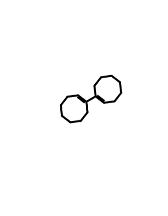 C1=C(/C2=C/CCCCCC2)CCCCCC/1